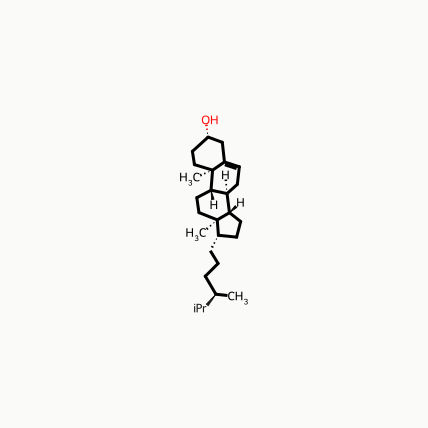 CC(C)[C@H](C)CCC[C@H]1CC[C@H]2[C@@H]3CC=C4C[C@@H](O)CC[C@]4(C)[C@H]3CC[C@]12C